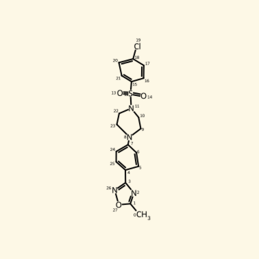 Cc1nc(-c2ccc(N3CCN(S(=O)(=O)c4ccc(Cl)cc4)CC3)cc2)no1